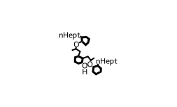 CCCCCCCc1ccccc1OC(C)Cc1cccc(O)c1CC(C)Oc1ccccc1CCCCCCC